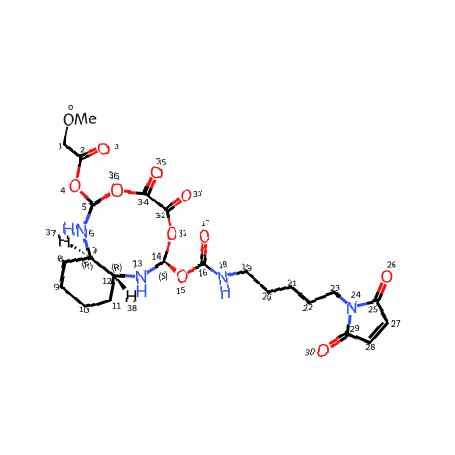 COCC(=O)OC1N[C@@H]2CCCC[C@H]2N[C@H](OC(=O)NCCCCCN2C(=O)C=CC2=O)OC(=O)C(=O)O1